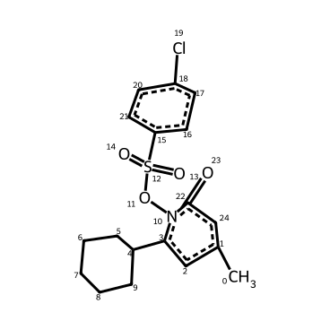 Cc1cc(C2CCCCC2)n(OS(=O)(=O)c2ccc(Cl)cc2)c(=O)c1